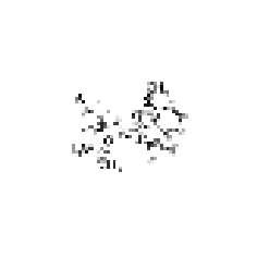 CCOP(=O)(COS(=O)(=O)c1c(SC)cccc1C(F)(F)F)OC(C)C